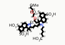 CC[N+]1=C(/C=C/C=C2/N(CCCCCC(=O)O)c3ccc4c(S(=O)(=O)O)cc(S(=O)(=O)O)cc4c3C2(C)CCOCCOCCOC)C(C)(C)c2c1ccc1c(S(=O)(=O)O)cc(S(=O)(=O)O)cc21